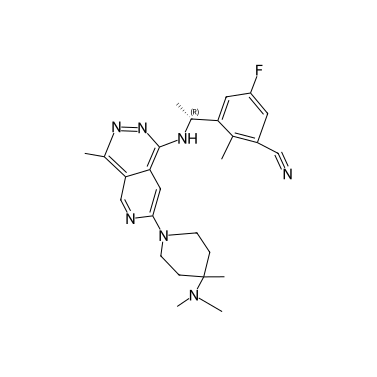 Cc1c(C#N)cc(F)cc1[C@@H](C)Nc1nnc(C)c2cnc(N3CCC(C)(N(C)C)CC3)cc12